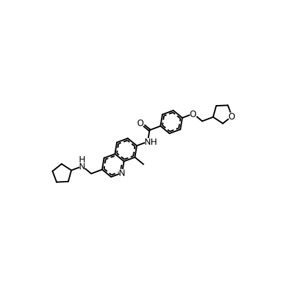 Cc1c(NC(=O)c2ccc(OCC3CCOC3)cc2)ccc2cc(CNC3CCCC3)cnc12